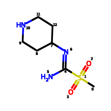 CS(=O)(=O)/C(N)=N/C1CCNCC1